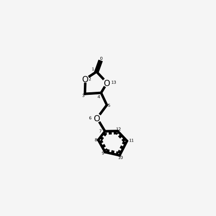 C=C1OCC(COc2ccccc2)O1